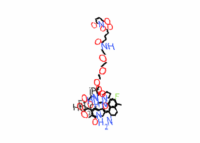 CC[C@@]1(OC(=O)[C@@H](NC(=O)[C@@H]2CCCN2C(=O)[C@H](CC(=O)O)NC(=O)CCOCCOCCOCCNC(=O)CCCC(=O)ON2C(=O)CCC2=O)C(C)C)C(=O)OCc2c1cc1n(c2=O)Cc2c-1nc1cc(F)c(C)c3c1c2[C@@H](N)CC3